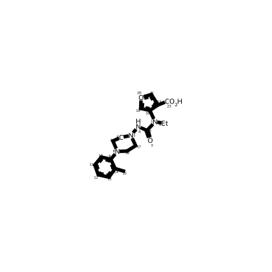 CCN(C(=O)NN1CCN(c2ccccc2C)CC1)c1cocc1C(=O)O